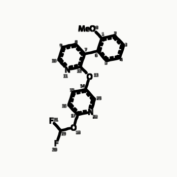 COc1ccccc1-c1cccnc1Oc1ccc(OC(F)F)nc1